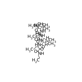 C=CCNC(=O)C(=O)C(CCC)NC(=O)[C@@H]1[C@@H]2[C@H](CN1C(=O)[C@@H](NC(=O)N[C@H](C(=O)N(C)C)C(C)(C)C)C(C)(C)C)C2(C)C